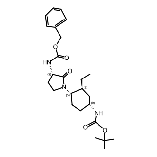 CC[C@H]1C[C@H](NC(=O)OC(C)(C)C)CC[C@@H]1N1CC[C@H](NC(=O)OCc2ccccc2)C1=O